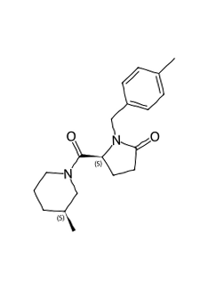 Cc1ccc(CN2C(=O)CC[C@H]2C(=O)N2CCC[C@H](C)C2)cc1